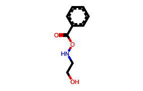 O=C(ONCCO)c1ccccc1